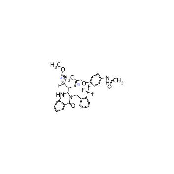 CO/C=C/[C@H](I)C(/C=C(\C)COc1ccc(NC(C)=O)cc1)C1Nc2ccccc2C(=O)N1Cc1ccccc1C(F)(F)F